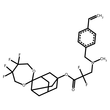 C=Cc1ccc(CN(C)CC(F)(F)C(=O)OC23CC4CC(C2)C2(OCC(F)(F)C(F)(F)CO2)C(C4)C3)cc1